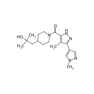 Cc1c(-c2cnn(C)c2)n[nH]c1C(=O)N1CCC(CC(C)(C)O)CC1